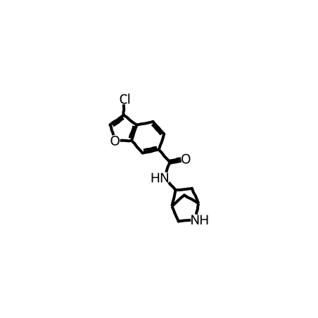 O=C(NC1CC2CC1CN2)c1ccc2c(Cl)coc2c1